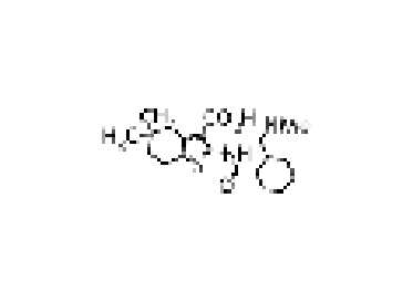 CNC[C@H]1CCCC[C@@H]1C(=O)Nc1sc2c(c1C(=O)O)CC(C)(C)CC2